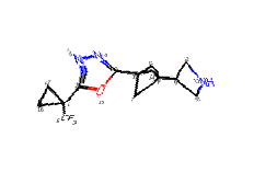 FC(F)(F)C1(c2nnc(C34CC(C5CNC5)(C3)C4)o2)CC1